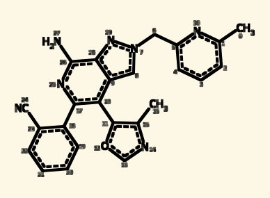 Cc1cccc(Cn2cc3c(-c4ocnc4C)c(-c4ccccc4C#N)nc(N)c3n2)n1